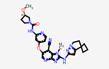 CO[C@@H]1CCN(C(=O)Nc2cc(Oc3cnc4nc(Nc5cc6n(n5)CCC65CCC5)n(C)c4c3C#N)ccn2)C1